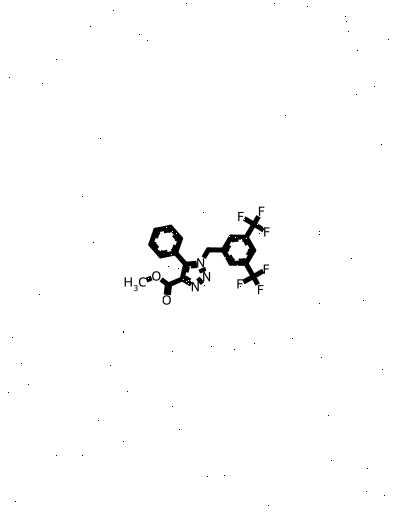 COC(=O)c1nnn(Cc2cc(C(F)(F)F)cc(C(F)(F)F)c2)c1-c1ccccc1